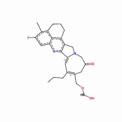 CCCC1=C(\COBO)CC(=O)CN2Cc3c(nc4cc(F)c(C)c5c4c3CCC5)\C2=C\1